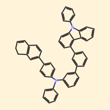 C1=Cc2ccc(-c3ccc(N(c4ccccc4)c4cccc(-c5cccc(-c6cccc7c6c6ccccc6n7-c6ccccc6)c5)c4)cc3)cc2CC1